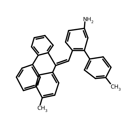 Cc1ccc(C(=Cc2ccc(N)cc2-c2ccc(C)cc2)c2ccccc2-c2ccccc2)cc1